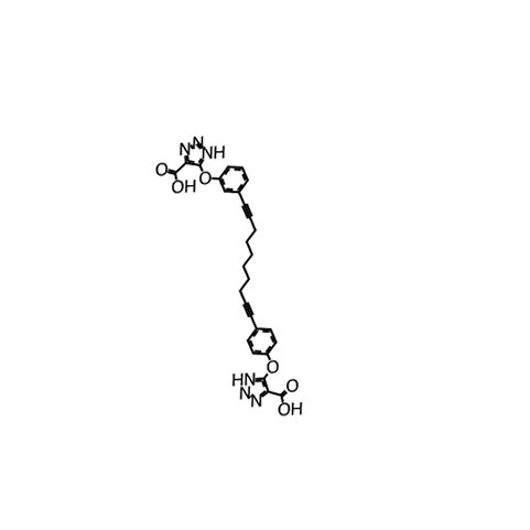 O=C(O)c1nn[nH]c1Oc1ccc(C#CCCCCCCC#Cc2cccc(Oc3[nH]nnc3C(=O)O)c2)cc1